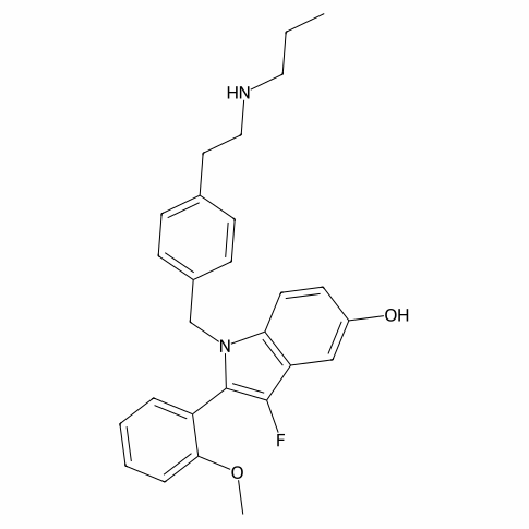 CCCNCCc1ccc(Cn2c(-c3ccccc3OC)c(F)c3cc(O)ccc32)cc1